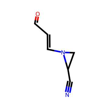 N#CC1CN1C=CC=O